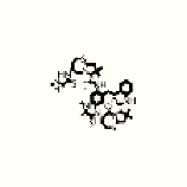 CN[C@@H](C)C(=S)N[C@H]1CCSC2CC(C)(C)[C@@H](C(=O)Nc3ccccc3CCc3ccccc3NC(=O)[C@H]3N4C(=O)[C@@H](NC(=S)[C@H](C)NC)CCSC4CC3(C)C)N2C1